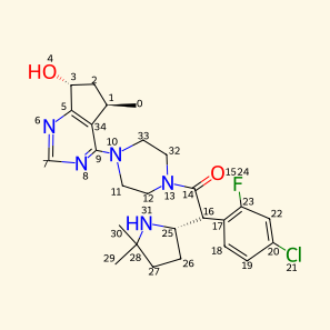 C[C@@H]1C[C@@H](O)c2ncnc(N3CCN(C(=O)C(c4ccc(Cl)cc4F)[C@@H]4CCC(C)(C)N4)CC3)c21